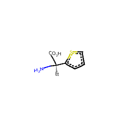 CC[C@](N)(C(=O)O)c1cccs1